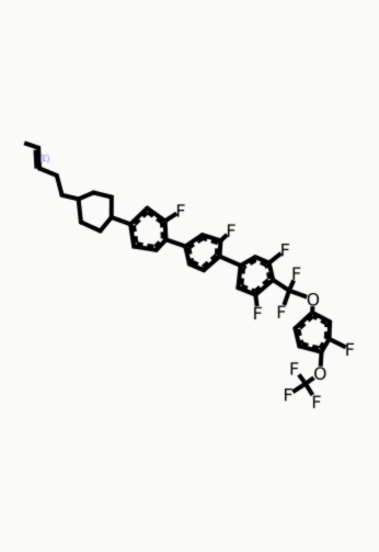 C/C=C/CCC1CCC(c2ccc(-c3ccc(-c4cc(F)c(C(F)(F)Oc5ccc(OC(F)(F)F)c(F)c5)c(F)c4)c(F)c3)c(F)c2)CC1